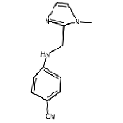 Cn1ccnc1CNc1ccc(C#N)cc1